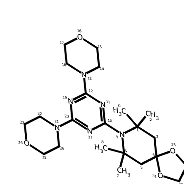 CC1(C)CC2(CC(C)(C)N1c1nc(N3CCOCC3)nc(N3CCOCC3)n1)OCCO2